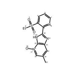 CCS(=O)(=O)c1cccnc1-c1nc2cc(C)c[n+]([O-])c2[nH]1